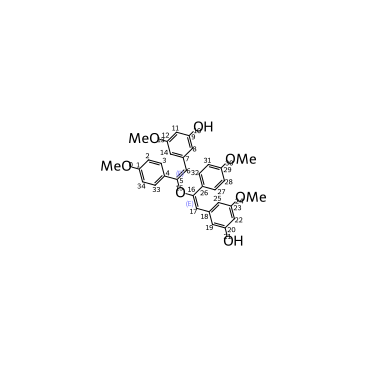 COc1ccc(/C(=C\c2cc(O)cc(OC)c2)O/C(=C/c2cc(O)cc(OC)c2)c2ccc(OC)cc2)cc1